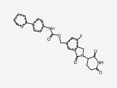 O=C1CCC(N2Cc3c(F)cc(COC(=O)Nc4ccc(-c5ccccn5)cc4)cc3C2=O)C(=O)N1